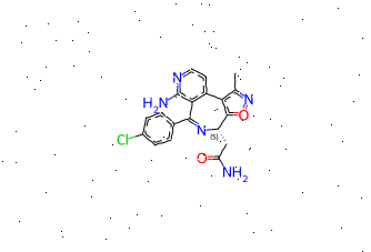 Cc1noc2c1-c1ccnc(N)c1C(c1ccc(Cl)cc1)=N[C@H]2CC(N)=O